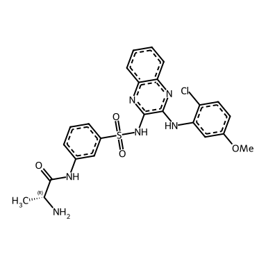 COc1ccc(Cl)c(Nc2nc3ccccc3nc2NS(=O)(=O)c2cccc(NC(=O)[C@@H](C)N)c2)c1